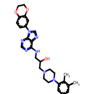 Cc1cccc(N2CCN(CC(O)CNc3ncnc4c3ncn4-c3ccc4c(c3)OCCO4)CC2)c1C